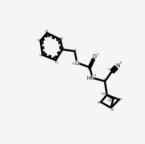 N#CC(NC(=O)OCc1ccccc1)C12CC(C1)C2